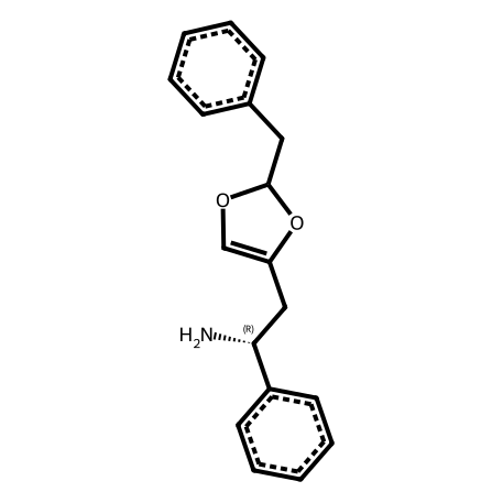 N[C@H](CC1=COC(Cc2ccccc2)O1)c1ccccc1